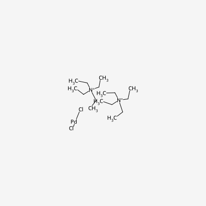 CC[N+](CC)(CC)CC.CC[N+](CC)(CC)CC.[Cl][Pd][Cl]